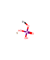 CCOP(=O)(O)O.[S]